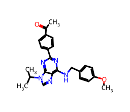 COc1ccc(CNc2nc(-c3ccc(C(C)=O)cc3)nc3c2ncn3C(C)C)cc1